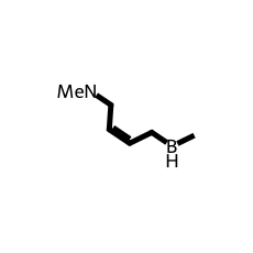 CBC/C=C\CNC